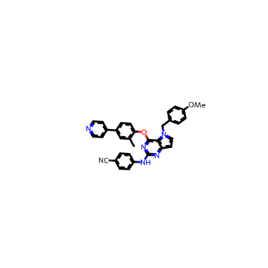 COc1ccc(Cn2ccc3nc(Nc4ccc(C#N)cc4)nc(Oc4ccc(-c5ccncc5)cc4C)c32)cc1